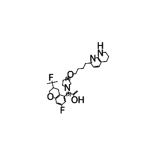 C=C(O)[C@H](c1cc(F)cc2c1CC(C(C)(C)F)CO2)N1CC[C@@H](OCCCCc2ccc3c(n2)NCCC3)C1